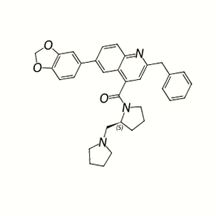 O=C(c1cc(Cc2ccccc2)nc2ccc(-c3ccc4c(c3)OCO4)cc12)N1CCC[C@H]1CN1CCCC1